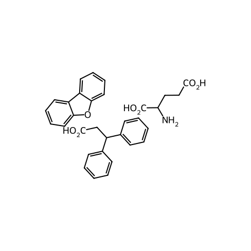 NC(CCC(=O)O)C(=O)O.O=C(O)CC(c1ccccc1)c1ccccc1.c1ccc2c(c1)oc1ccccc12